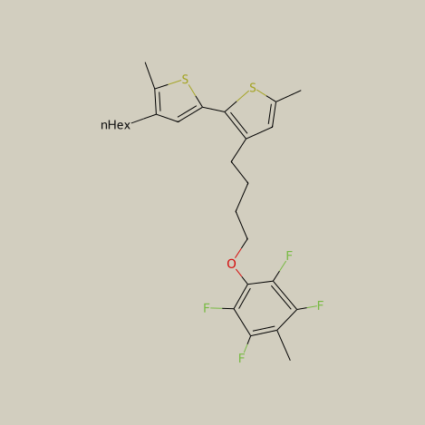 CCCCCCc1cc(-c2sc(C)cc2CCCCOc2c(F)c(F)c(C)c(F)c2F)sc1C